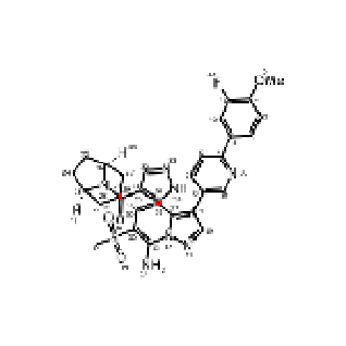 COc1ccc(-c2ccc(-c3cnn4c(N)c(S(C)(=O)=O)c([C@@H]5C[C@H]6CC[C@@H](C5)N6C(=O)c5cn[nH]n5)nc34)cn2)cc1F